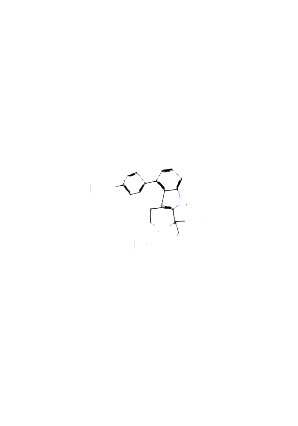 CCCC1(CC(=O)O)OCCc2c1[nH]c1cccc(-c3ccc(C(F)(F)F)cc3)c21